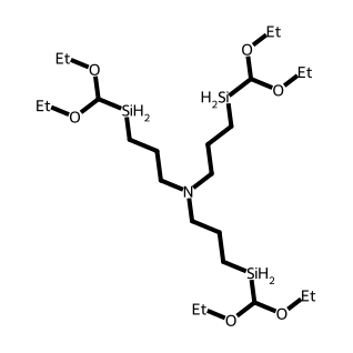 CCOC(OCC)[SiH2]CCCN(CCC[SiH2]C(OCC)OCC)CCC[SiH2]C(OCC)OCC